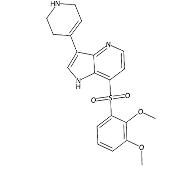 COc1cccc(S(=O)(=O)c2ccnc3c(C4=CCNCC4)c[nH]c23)c1OC